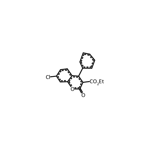 CCOC(=O)c1c(-c2ccccc2)c2ccc(Cl)cc2oc1=O